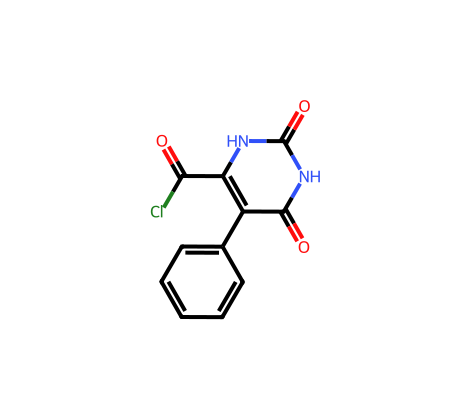 O=C(Cl)c1[nH]c(=O)[nH]c(=O)c1-c1ccccc1